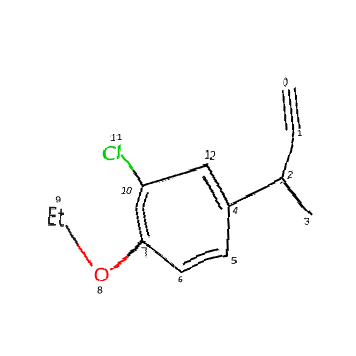 C#C[C](C)c1ccc(OCC)c(Cl)c1